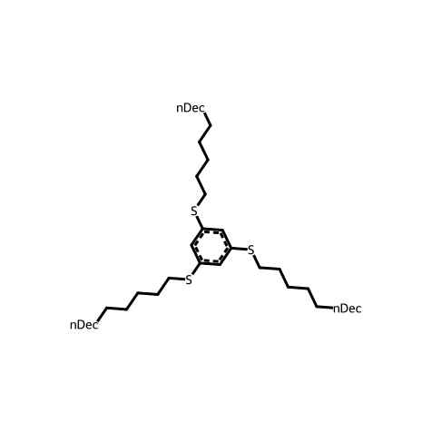 CCCCCCCCCCCCCCCSc1cc(SCCCCCCCCCCCCCCC)cc(SCCCCCCCCCCCCCCC)c1